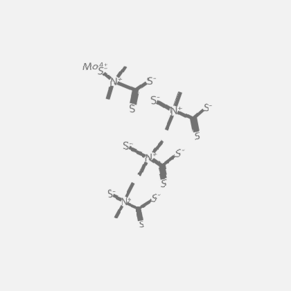 C[N+](C)([S-])C(=S)[S-].C[N+](C)([S-])C(=S)[S-].C[N+](C)([S-])C(=S)[S-].C[N+](C)([S-])C(=S)[S-].[Mo+4]